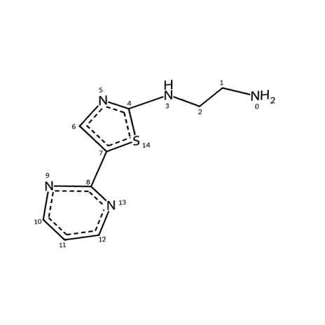 NCCNc1ncc(-c2ncccn2)s1